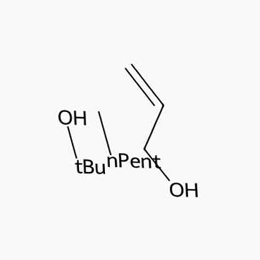 C=CCO.CC(C)(C)O.CCCCCC